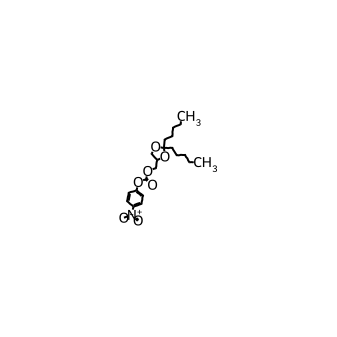 CCCCCC1(CCCCC)OCC(COC(=O)Oc2ccc([N+](=O)[O-])cc2)O1